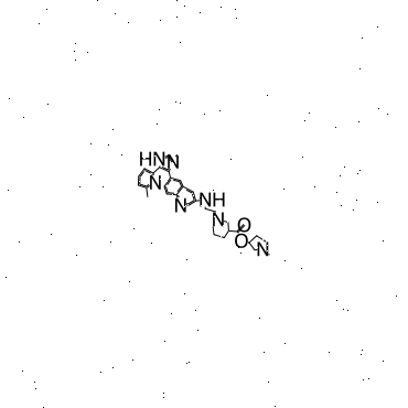 Cc1cccc(-c2[nH]cnc2-c2ccc3ncc(NCCN4CCCC(C(=O)O[C@H]5CCN(C)C5)C4)cc3c2)n1